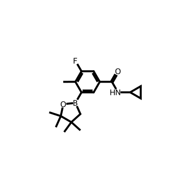 Cc1c(F)cc(C(=O)NC2CC2)cc1B1CC(C)(C)C(C)(C)O1